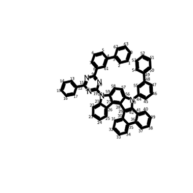 c1ccc(-c2cccc(-c3nc(-c4ccccc4)nc(-n4c5ccccc5c5c6c7c8ccccc8c8ccccc8c7n(-c7cccc(-c8ccccc8)c7)c6ccc54)n3)c2)cc1